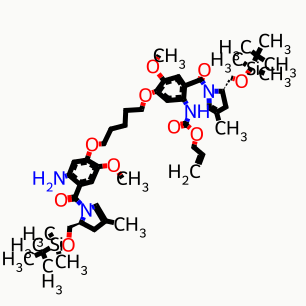 C=CCOC(=O)Nc1cc(OCCCCCOc2cc(N)c(C(=O)N3C=C(C)C[C@H]3CO[Si](C)(C)C(C)(C)C)cc2OC)c(OC)cc1C(=O)N1C=C(C)C[C@H]1CO[Si](C)(C)C(C)(C)C